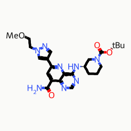 COCCn1cc(-c2cc(C(N)=O)c3ncnc(N[C@H]4CCCN(C(=O)OC(C)(C)C)C4)c3n2)cn1